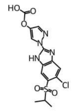 CC(C)S(=O)(=O)c1cc2[nH]c(-n3cc(OC(=O)O)cn3)nc2cc1Cl